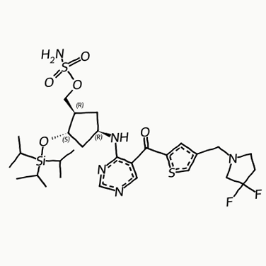 CC(C)[Si](O[C@H]1C[C@H](Nc2ncncc2C(=O)c2cc(CN3CCC(F)(F)C3)cs2)C[C@@H]1COS(N)(=O)=O)(C(C)C)C(C)C